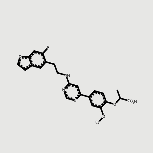 CCOc1cc(-c2cc(NCCc3cc4ccoc4cc3F)ncn2)ccc1OC(C)C(=O)O